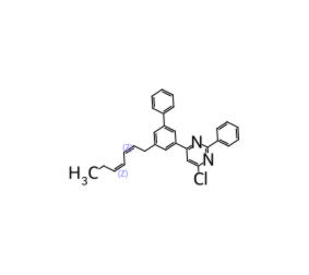 CC/C=C\C=C/Cc1cc(-c2ccccc2)cc(-c2cc(Cl)nc(-c3ccccc3)n2)c1